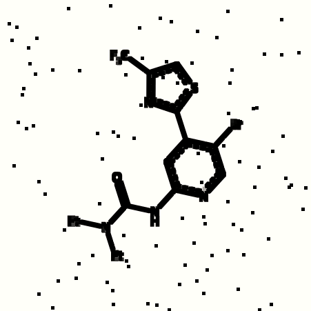 CCN(CC)C(=O)Nc1cc(-c2nc(C(F)(F)F)cs2)c(Br)cn1